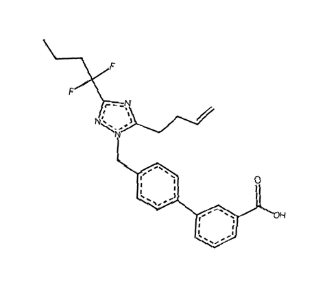 C=CCCc1nc(C(F)(F)CCC)nn1Cc1ccc(-c2cccc(C(=O)O)c2)cc1